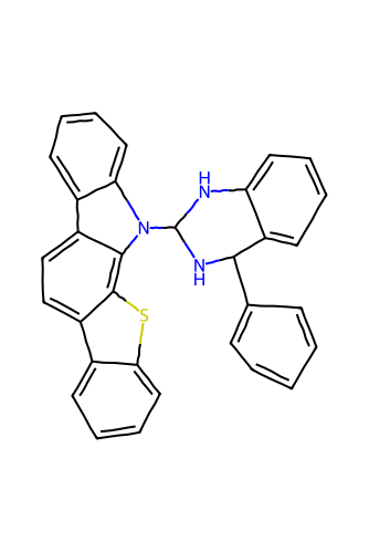 c1ccc(C2NC(n3c4ccccc4c4ccc5c6ccccc6sc5c43)Nc3ccccc32)cc1